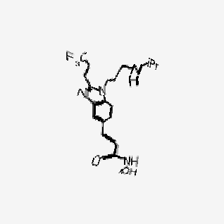 CC(C)NCCCn1c(CCC(F)(F)F)nc2cc(/C=C/C(=O)NO)ccc21